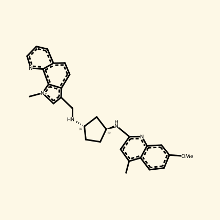 COc1ccc2c(C)cc(N[C@H]3CC[C@H](NCc4cn(C)c5c4ccc4cccnc45)C3)nc2c1